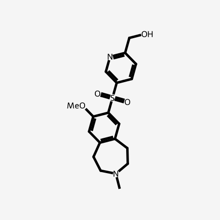 COc1cc2c(cc1S(=O)(=O)c1ccc(CO)nc1)CCN(C)CC2